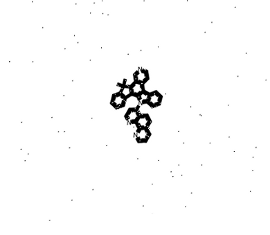 CC1(C)c2ccccc2-c2c1c1cnccc1c1c3ccccc3n(-c3ccnc4c3ccc3cccnc34)c21